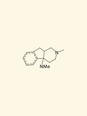 CNC12CCN(C)CC1Cc1ccccc12